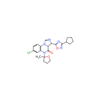 CC1(N2C(=O)C3C(c4nc(C5CCCC5)no4)N=CN3c3ccc(Cl)cc32)CCCO1